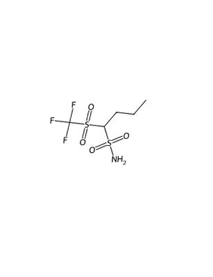 CCCC(S(N)(=O)=O)S(=O)(=O)C(F)(F)F